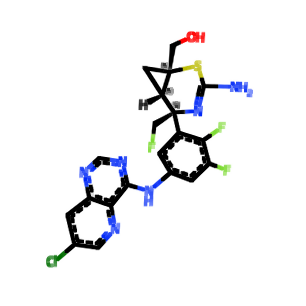 NC1=N[C@](CF)(c2cc(Nc3ncnc4cc(Cl)cnc34)cc(F)c2F)[C@@H]2C[C@]2(CO)S1